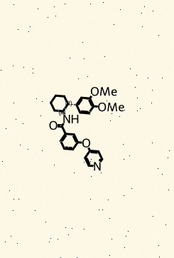 COc1ccc([C@H]2CCCC[C@H]2NC(=O)c2cccc(Oc3ccncc3)c2)cc1OC